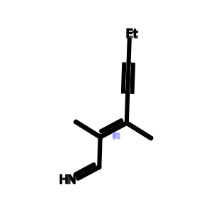 CCC#C/C(C)=C(\C)C=N